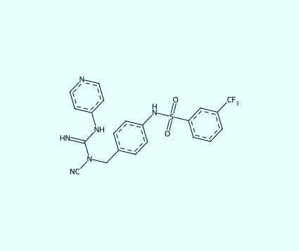 N#CN(Cc1ccc(NS(=O)(=O)c2cccc(C(F)(F)F)c2)cc1)C(=N)Nc1ccncc1